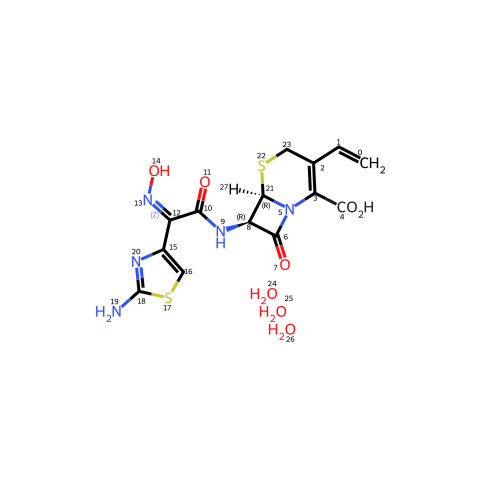 C=CC1=C(C(=O)O)N2C(=O)[C@@H](NC(=O)/C(=N\O)c3csc(N)n3)[C@H]2SC1.O.O.O